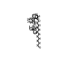 CCCCCCCCCC(CCCc1ccoc1[Si](CC)(CC)CC)NC(C)=O